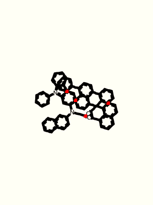 c1ccc(-c2ccc3c4c(cccc24)C2(c4cc(N(c5ccc6ccccc6c5)c5ccc6c7ccccc7n(-c7ccccc7)c6c5)ccc4-c4cccc5cccc2c45)c2ccccc2-3)cc1